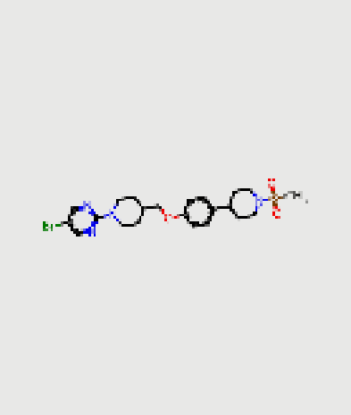 CS(=O)(=O)N1CCC(c2ccc(OCC3CCN(c4ncc(Br)cn4)CC3)cc2)CC1